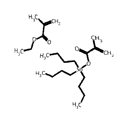 C=C(C)C(=O)OCC.C=C(C)C(=O)[O][Sn]([CH2]CCC)([CH2]CCC)[CH2]CCC